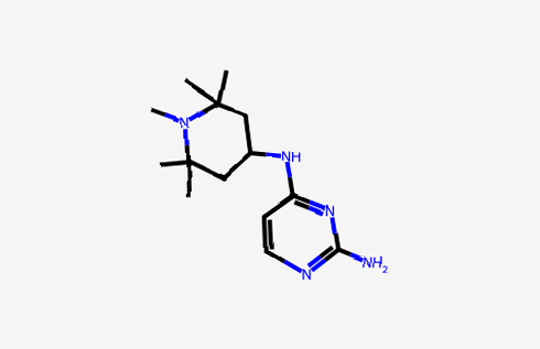 CN1C(C)(C)CC(Nc2ccnc(N)n2)CC1(C)C